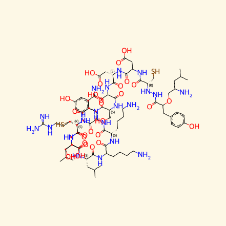 CC(C)CC(N)COC(Cc1ccc(O)cc1)C(=O)NN[C@@H](CS)C(=O)NC(CC(=O)O)C(=O)N[C@@H](CC(=O)O)C(=O)NC(CO)C(=O)N[C@@H](CO)C(=O)NC(CC(N)=O)C(=O)N[C@@H](CS)C(=O)NC(CC(C)C)C(=O)N[C@@H](CC(C)C)C(=O)NC(CCCCN)C(=O)N[C@@H](CCCCN)C(=O)NC(Cc1ccc(O)cc1)C(=O)N[C@@H](CCCNC(=N)N)C(=O)NC(CO)C(=O)O